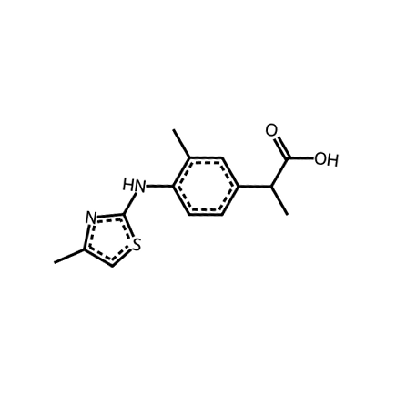 Cc1csc(Nc2ccc(C(C)C(=O)O)cc2C)n1